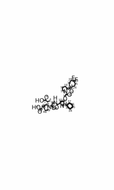 O=C(O)CC[C@H](NC(=O)c1cc(OCC(=O)N2CCC[C@H]2C(=O)N2CCC(F)(F)CC2)n(-c2ccccc2)n1)C(=O)N1CCN(C(=O)O)CC1